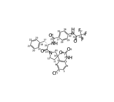 O=C1Nc2ccc(Cl)cc2C2(CCN(C(=O)[C@H](Cc3ccccc3)NC(=O)c3ccc(NC(=O)C(F)(F)F)cc3)C2)O1